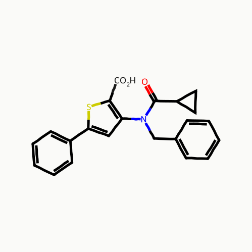 O=C(O)c1sc(-c2ccccc2)cc1N(Cc1ccccc1)C(=O)C1CC1